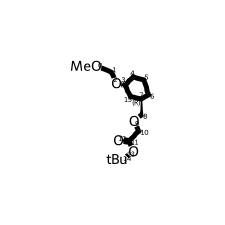 COCO[C@H]1CCC[C@@H](COCC(=O)OC(C)(C)C)C1